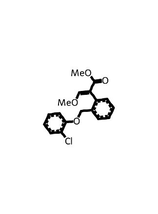 CO/C=C(/C(=O)OC)c1ccccc1COc1ccccc1Cl